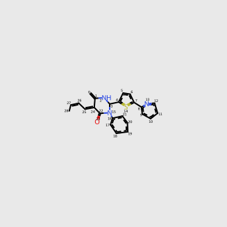 C=C1NC(c2ccc(-c3ccccn3)s2)N(c2ccccc2)C(=O)/C1=C/C=C\C